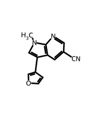 Cn1cc(-c2ccoc2)c2cc(C#N)cnc21